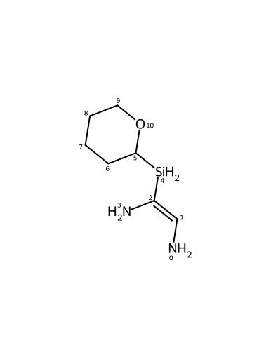 NC=C(N)[SiH2]C1CCCCO1